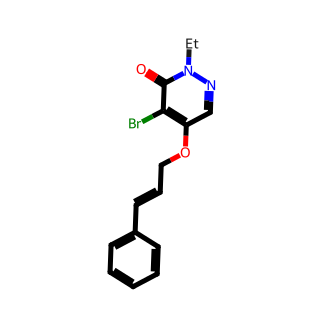 CCn1ncc(OCC=Cc2ccccc2)c(Br)c1=O